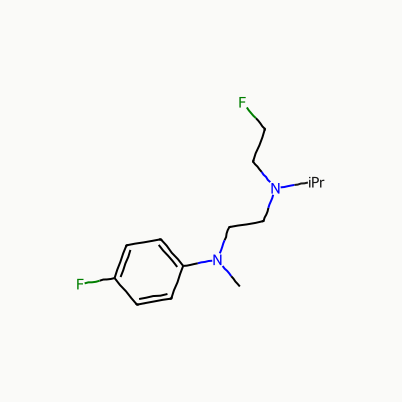 CC(C)N(CCF)CCN(C)c1ccc(F)cc1